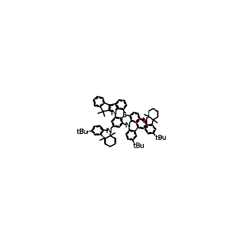 CC(C)(C)c1ccc(N2c3cc(N4c5ccc(C(C)(C)C)cc5C5(C)CCCCC45C)ccc3B3c4c2cc(N2c5ccc(C(C)(C)C)cc5C5(C)CCCCC25C)cc4-n2c4c(c5cccc3c52)-c2ccccc2C4(C)C)c(-c2ccccc2)c1